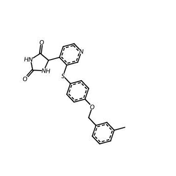 Cc1cccc(COc2ccc(Sc3cnccc3C3NC(=O)NC3=O)cc2)c1